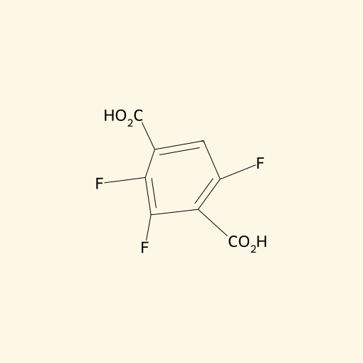 O=C(O)c1cc(F)c(C(=O)O)c(F)c1F